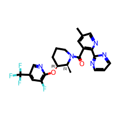 Cc1cnc(-c2ncccn2)c(C(=O)N2CCC[C@@H](Oc3ncc(C(F)(F)F)cc3F)[C@@H]2C)c1